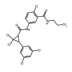 O=C(NCCC(F)(F)F)c1cc(NC(=O)C2C(c3cc(Cl)cc(Cl)c3)C2(Cl)Cl)ccc1Cl